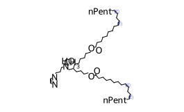 CCCCC/C=C\C/C=C\CCCCCCCC(=O)OCCCCCC(O)C(CCCCOC(=O)CCCCCCC/C=C\C/C=C\CCCCC)CN(C)CCCn1ccnc1